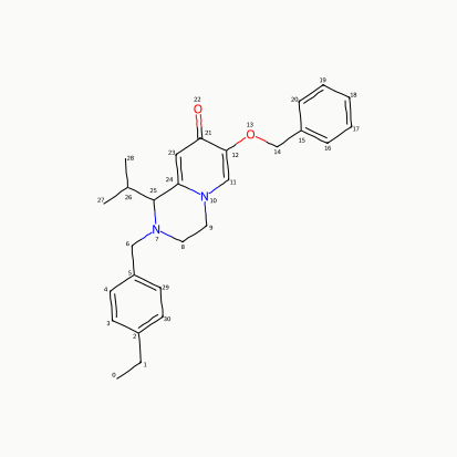 CCc1ccc(CN2CCn3cc(OCc4ccccc4)c(=O)cc3C2C(C)C)cc1